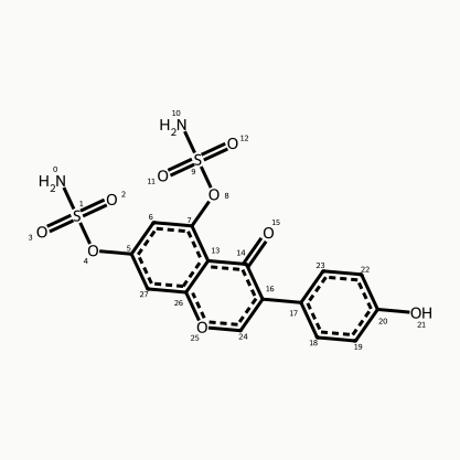 NS(=O)(=O)Oc1cc(OS(N)(=O)=O)c2c(=O)c(-c3ccc(O)cc3)coc2c1